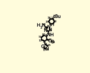 CC(C)(C)c1ccc(-n2nc(NC3C=CC=C(c4cnco4)C3=C=O)nc2N)cc1